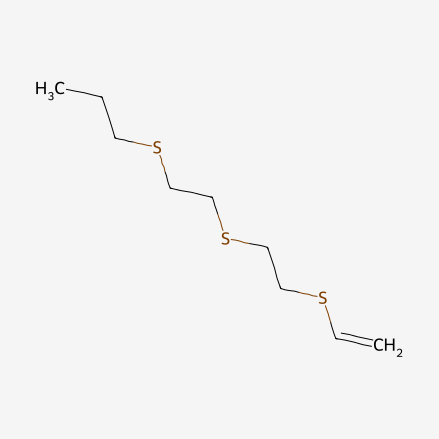 C=CSCCSCCSCCC